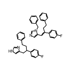 Fc1ccc(C(=Cc2cncn2Cc2ccccc2)CCc2ccccc2)cc1.Fc1ccc(C(CCc2ccccc2)Cc2c[nH]cn2)cc1